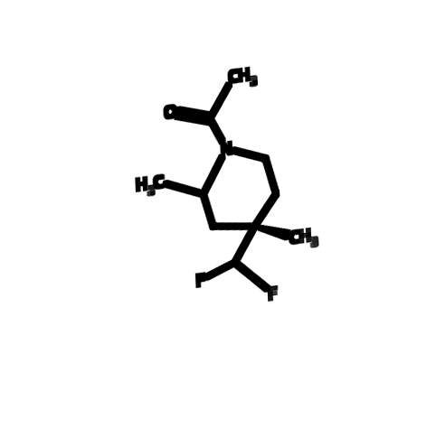 CC(=O)N1CC[C@](C)(C(F)F)CC1C